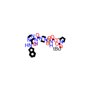 CC(C)(C)OC(=O)N1CCC[C@H]1COC(=O)NS(=O)(=O)N1CCN(C(=O)Nc2nccnc2C(=O)NC2Cc3ccccc3C2)CC1